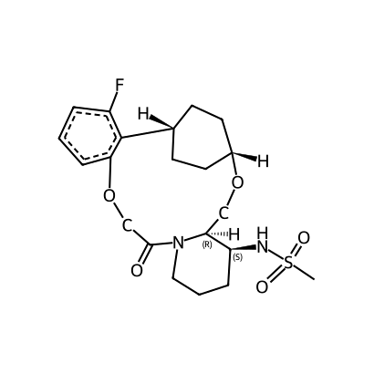 CS(=O)(=O)N[C@H]1CCCN2C(=O)COc3cccc(F)c3[C@H]3CC[C@H](CC3)OC[C@@H]12